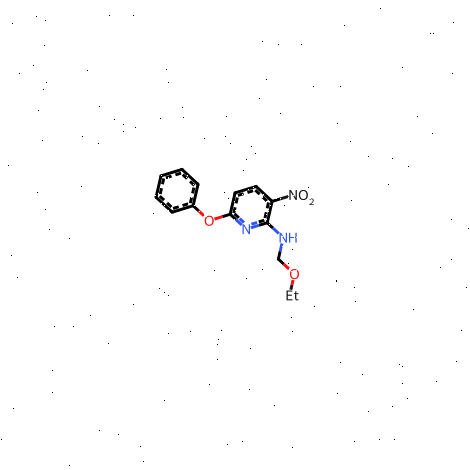 CCOCNc1nc(Oc2ccccc2)ccc1[N+](=O)[O-]